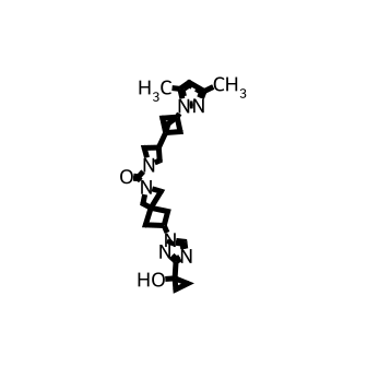 Cc1cc(C)n(C23CC(C4CN(C(=O)N5CC6(CC(n7cnc(C8(O)CC8)n7)C6)C5)C4)(C2)C3)n1